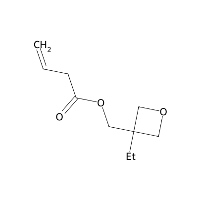 C=CCC(=O)OCC1(CC)COC1